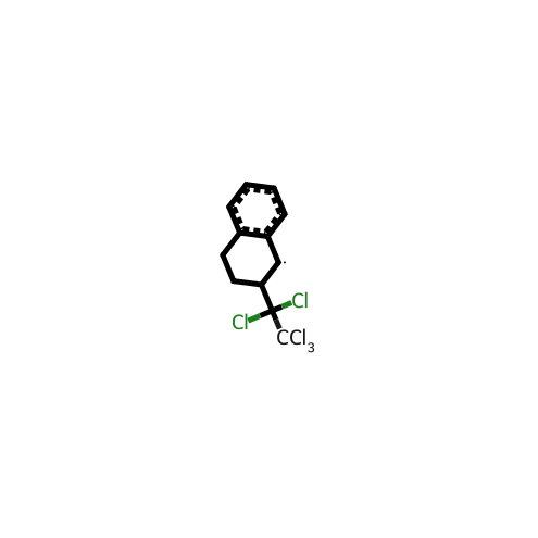 ClC(Cl)(Cl)C(Cl)(Cl)C1[CH]c2ccccc2CC1